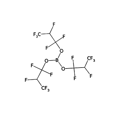 FC(C(F)(F)F)C(F)(F)OB(OC(F)(F)C(F)C(F)(F)F)OC(F)(F)C(F)C(F)(F)F